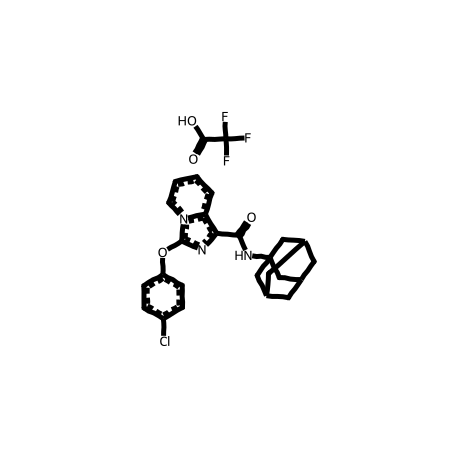 O=C(NC12CC3CC(CC(C3)C1)C2)c1nc(Oc2ccc(Cl)cc2)n2ccccc12.O=C(O)C(F)(F)F